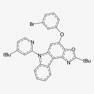 CC(C)(C)c1ccnc(-n2c3ccccc3c3c4nc(C(C)(C)C)oc4c(Oc4cccc(Br)c4)cc32)c1